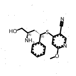 COc1cc(S[C@@H](C[C@@H](N)CO)c2ccccc2)c(C#N)cn1